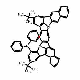 CC(C)(C)c1cc(N(c2ccccc2)c2ccccc2)c2c(c1)c1c3ccccc3cc3c4nc5c(nc4n2c31)c1cc(C(C)(C)C)cc2c3cc4ccccc4cc3n5c21